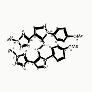 COc1ccc(-n2ncc(-c3nnn(C(C)C)n3)c2SSc2c(-c3nnn(C(C)C)n3)cnn2-c2ccc(OC)cc2)cc1